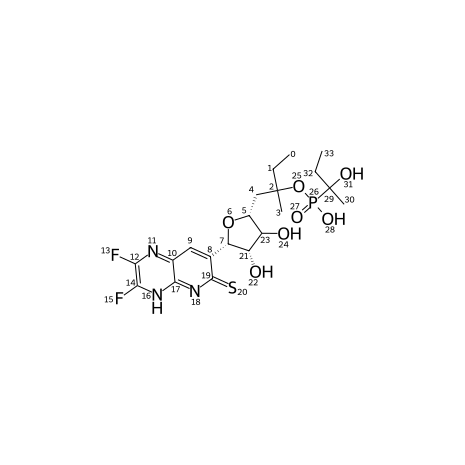 CCC(C)(C[C@H]1O[C@@H](c2cc3nc(F)c(F)[nH]c-3nc2=S)[C@@H](O)C1O)OP(=O)(O)C(C)(O)CC